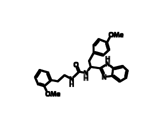 COc1ccc(CC(NC(=O)NCCc2ccccc2OC)c2nc3ccccc3[nH]2)cc1